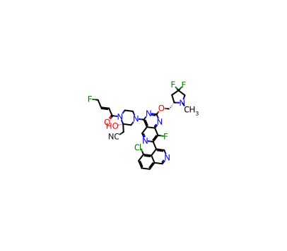 CN1CC(F)(F)C[C@H]1COc1nc(N2CCN(C(=O)/C=C/CF)[C@](O)(CC#N)C2)c2cnc(-c3cncc4cccc(Cl)c34)c(F)c2n1